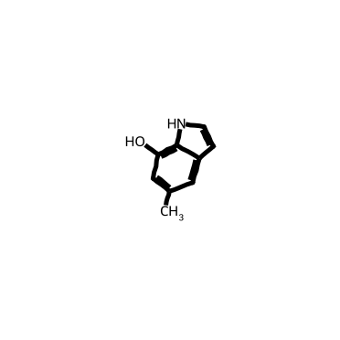 Cc1cc(O)c2[nH]ccc2c1